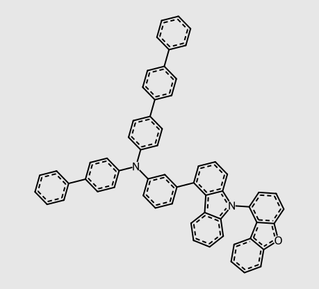 c1ccc(-c2ccc(-c3ccc(N(c4ccc(-c5ccccc5)cc4)c4cccc(-c5cccc6c5c5ccccc5n6-c5cccc6oc7ccccc7c56)c4)cc3)cc2)cc1